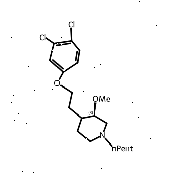 CCCCCN1CCC(CCOc2ccc(Cl)c(Cl)c2)[C@@H](OC)C1